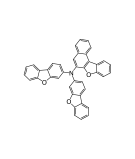 c1ccc2c(c1)cc(N(c1ccc3c(c1)oc1ccccc13)c1ccc3c(c1)oc1ccccc13)c1oc3ccccc3c12